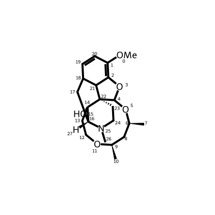 COC1=C2OC3O[C@@H](C)C[C@@H](C)OCCC4(O)[C@H]5CC(C=C1)C2[C@@]34CCN5C